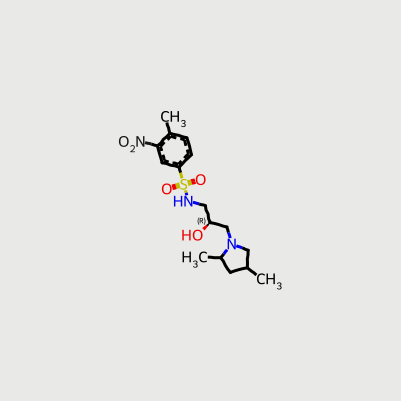 Cc1ccc(S(=O)(=O)NC[C@H](O)CN2CC(C)CC2C)cc1[N+](=O)[O-]